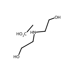 CC(=O)O.OCCNCCO